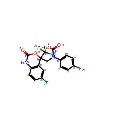 O=C1Nc2ccc(F)cc2C(CN(C(=O)O)c2ccc(F)cc2)(C(F)(F)F)O1